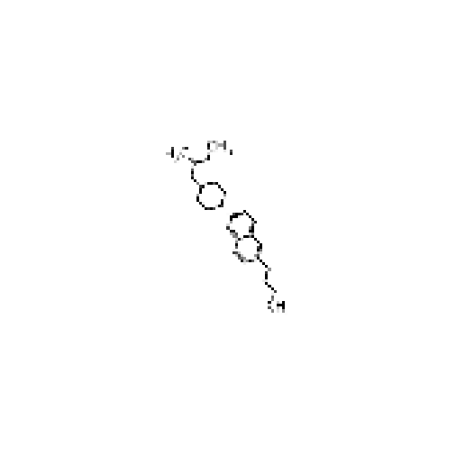 CCCCc1ccc2cc([C@H]3CC[C@H](CC(C)CC)CC3)ccc2c1